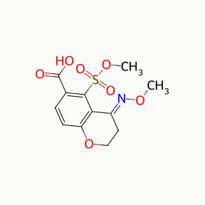 CON=C1CCOc2ccc(C(=O)O)c(S(=O)(=O)OC)c21